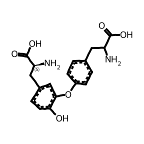 NC(Cc1ccc(Oc2cc(C[C@H](N)C(=O)O)ccc2O)cc1)C(=O)O